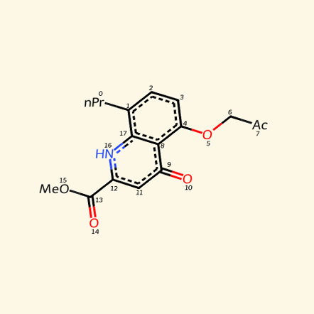 CCCc1ccc(OCC(C)=O)c2c(=O)cc(C(=O)OC)[nH]c12